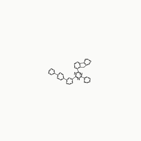 c1ccc(-c2ccc(-c3cccc(-c4nc(-c5ccccc5)nc(-c5cccc6c5Cc5ccccc5-6)n4)c3)cc2)cc1